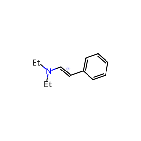 CCN(/C=C/c1ccccc1)CC